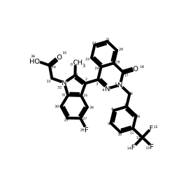 Cc1c(-c2nn(Cc3cccc(C(F)(F)F)c3)c(=O)c3ccccc23)c2cc(F)ccc2n1CC(=O)O